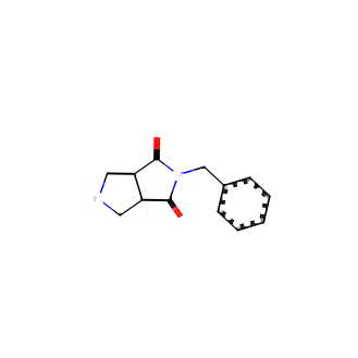 O=C1[C@H]2CNC[C@H]2C(=O)N1Cc1ccccc1